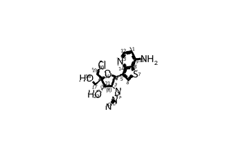 [N-]=[N+]=N[C@H]1[C@H](c2csc3c(N)ccnc23)O[C@@](CO)(CCl)[C@H]1O